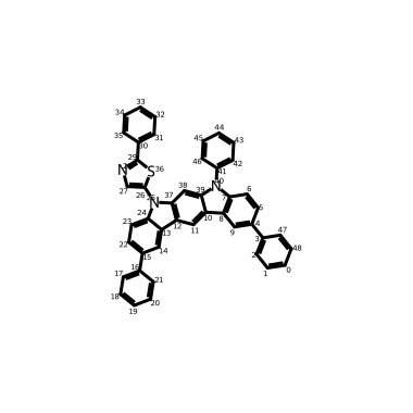 c1ccc(-c2ccc3c(c2)c2cc4c5cc(-c6ccccc6)ccc5n(-c5cnc(-c6ccccc6)s5)c4cc2n3-c2ccccc2)cc1